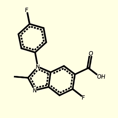 Cc1nc2cc(F)c(C(=O)O)cc2n1-c1ccc(F)cc1